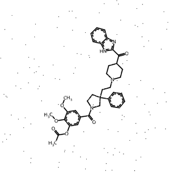 COc1cc(C(=O)N2CCC(CCN3CCC(C(=O)c4nc5ccccc5[nH]4)CC3)(c3ccccc3)C2)cc(OC(C)=O)c1OC